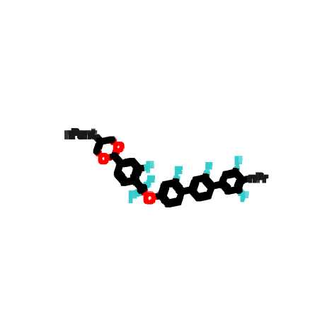 CCCCCC1COC(c2ccc(C(F)(F)Oc3ccc(-c4ccc(-c5cc(F)c(CCC)c(F)c5)c(F)c4)c(F)c3)c(F)c2)OC1